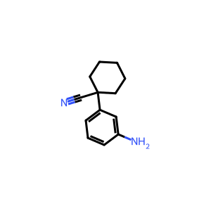 N#CC1(c2cccc(N)c2)CCCCC1